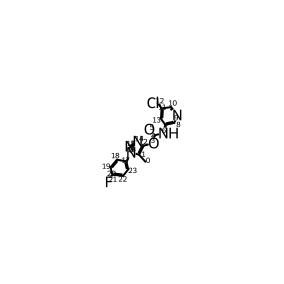 Cc1c(OC(=O)Nc2cncc(Cl)c2)nnn1-c1ccc(F)cc1